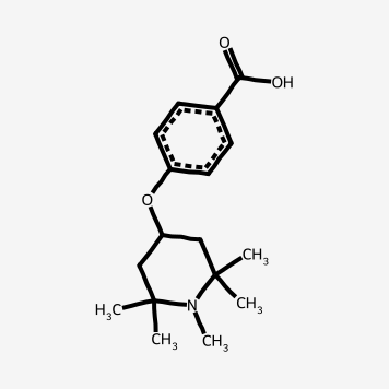 CN1C(C)(C)CC(Oc2ccc(C(=O)O)cc2)CC1(C)C